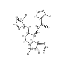 Cc1ccsc1C(=O)O/N=C1/c2c(n(C)c3ccccc23)CCC1Cn1ccnc1C